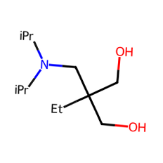 CCC(CO)(CO)CN(C(C)C)C(C)C